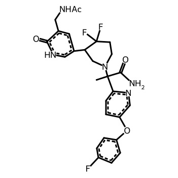 CC(=O)NCc1cc(C2CN(C(C)(C(N)=O)c3ccc(Oc4ccc(F)cc4)cn3)CCC2(F)F)c[nH]c1=O